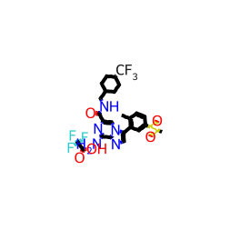 Cc1ccc(S(C)(=O)=O)cc1-c1cnc2c(N)nc(C(=O)NCC3CCC(C(F)(F)F)CC3)cn12.O=C(O)C(F)(F)F